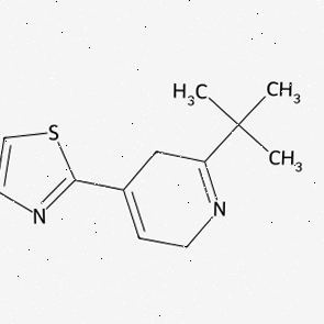 CC(C)(C)C1=NCC=C(c2nccs2)C1